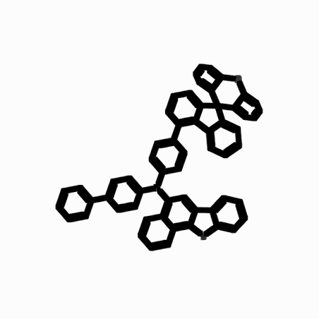 c1ccc(-c2ccc(N(c3ccc(-c4cccc5c4-c4ccccc4C54c5ccccc5Oc5ccccc54)cc3)c3cc4c5ccccc5sc4c4ccccc34)cc2)cc1